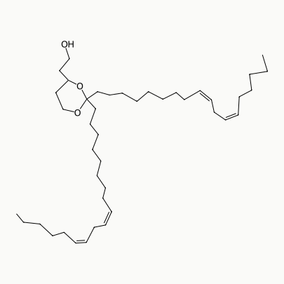 CCCCC/C=C\C/C=C\CCCCCCCCC1(CCCCCCCC/C=C\C/C=C\CCCCC)OCCC(CCO)O1